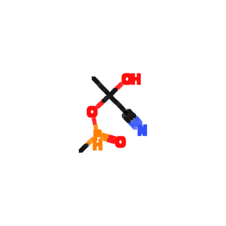 C[PH](=O)OC(C)(O)C#N